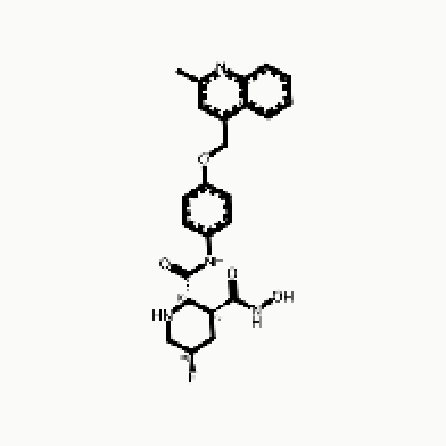 Cc1cc(COc2ccc(NC(=O)[C@H]3NC[C@H](F)C[C@@H]3C(=O)NO)cc2)c2ccccc2n1